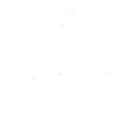 O=C(O)C(F)(F)F.O=S(=O)(Nc1nccs1)c1cc(Cl)c(NC(CN2CC(F)C2)c2ccccc2)cc1F